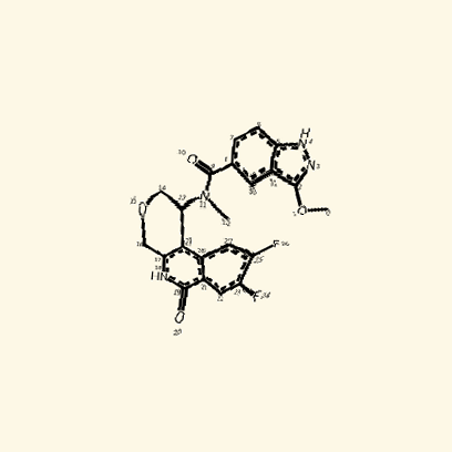 COc1n[nH]c2ccc(C(=O)N(C)C3COCc4[nH]c(=O)c5cc(F)c(F)cc5c43)cc12